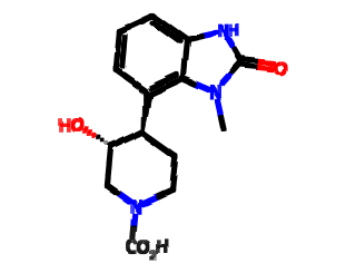 Cn1c(=O)[nH]c2cccc([C@H]3CCN(C(=O)O)C[C@@H]3O)c21